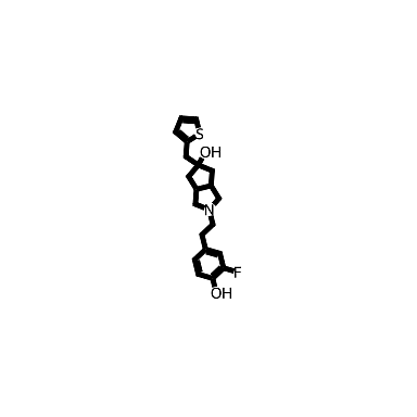 Oc1ccc(CCN2CC3CC(O)(Cc4cccs4)CC3C2)cc1F